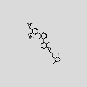 Cc1c(OCCCN2[C@H](C)CC[C@H]2C)cccc1-c1cccc(-c2ccc(CN(C)C)c(OC(C)C)c2)c1C